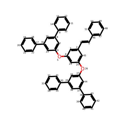 C(=Cc1cc(Oc2cc(-c3ccccc3)cc(-c3ccccc3)c2)cc(Oc2cc(-c3ccccc3)cc(-c3ccccc3)c2)c1)c1ccccc1